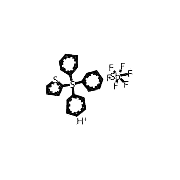 [F][Sb-]([F])([F])([F])([F])[F].[H+].c1ccc(S(c2ccccc2)(c2ccccc2)c2cccs2)cc1